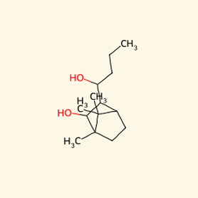 CCCC(O)C1C2CCC(C)(C1O)C2(C)C